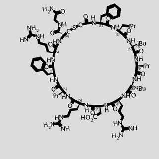 CC[C@H](C)[C@@H]1NC(=O)[C@H](CC(C)C)NC(=O)[C@H](Cc2ccccc2)NC(=O)CSC[C@@H](C(=O)NCC(N)=O)NC(=O)[C@H](CCCNC(=N)N)NC(=O)[C@H](Cc2ccccc2)NC(=O)[C@H](C(C)C)NC(=O)[C@H](CCCNC(=N)N)NC(=O)[C@H](CC(=O)O)NC(=O)[C@H](CCCNC(=N)N)NC(=O)[C@H]([C@@H](C)CC)NC(=O)[C@H](C(C)C)NC1=O